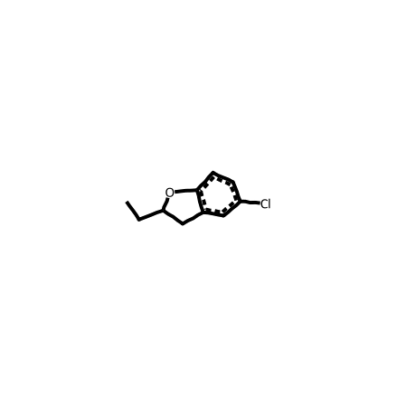 CCC1Cc2cc(Cl)ccc2O1